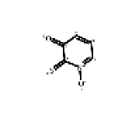 O=C1C=CC=[N+]([O-])C1=S